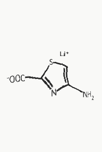 Nc1csc(C(=O)[O-])n1.[Li+]